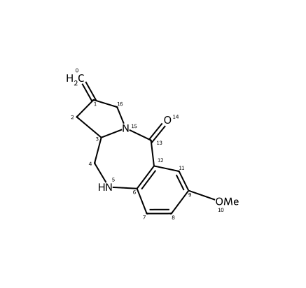 C=C1CC2CNc3ccc(OC)cc3C(=O)N2C1